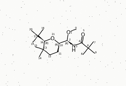 CO[C@@H](NC(=O)C(C)(C)C)[C@H]1CCC(C)(C)[C@@H](C(C)(C)C)O1